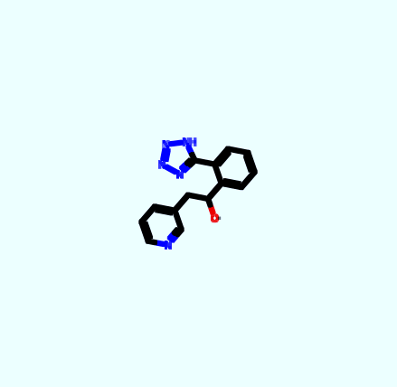 [O]C(Cc1cccnc1)c1ccccc1-c1nnn[nH]1